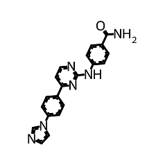 NC(=O)c1ccc(Nc2nccc(-c3ccc(-n4ccnc4)cc3)n2)cc1